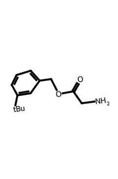 CC(C)(C)c1cccc(COC(=O)CN)c1